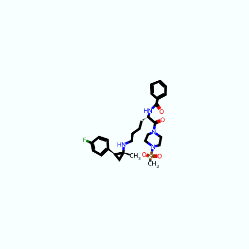 C[C@@]1(NCCCC[C@H](NC(=O)c2ccccc2)C(=O)N2CCN(S(C)(=O)=O)CC2)C[C@H]1c1ccc(F)cc1